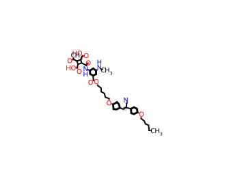 CCCCCCOc1ccc(/C(C#N)=C/c2ccc(OCCCCCCOC(=O)c3cc(NC)cc(NC(=O)C4C(C(=O)O)C(C(C)=O)C4C(=O)O)c3)cc2)cc1